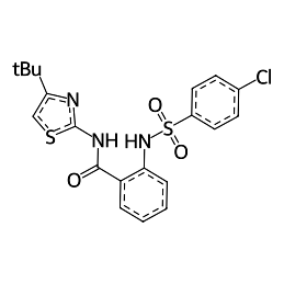 CC(C)(C)c1csc(NC(=O)c2ccccc2NS(=O)(=O)c2ccc(Cl)cc2)n1